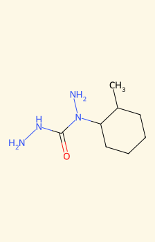 CC1CCCCC1N(N)C(=O)NN